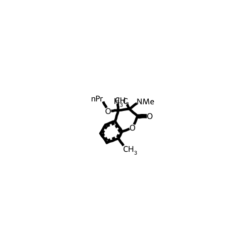 CCCOC1(C)c2cccc(C)c2OC(=O)C1(C)NC